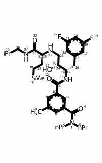 CCCN(CCC)C(=O)c1cc(C)cc(C(=O)N[C@@H](Cc2cc(F)cc(F)c2)[C@H](O)CN[C@@H](CCSC)C(=O)NCC(C)C)c1